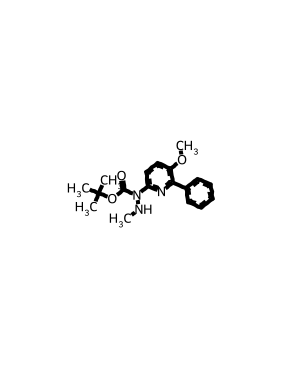 CNN(C(=O)OC(C)(C)C)c1ccc(OC)c(-c2ccccc2)n1